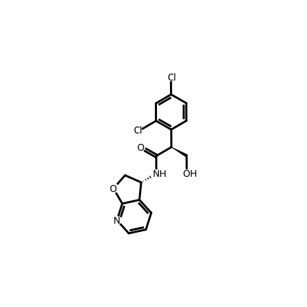 O=C(N[C@H]1COc2ncccc21)[C@H](CO)c1ccc(Cl)cc1Cl